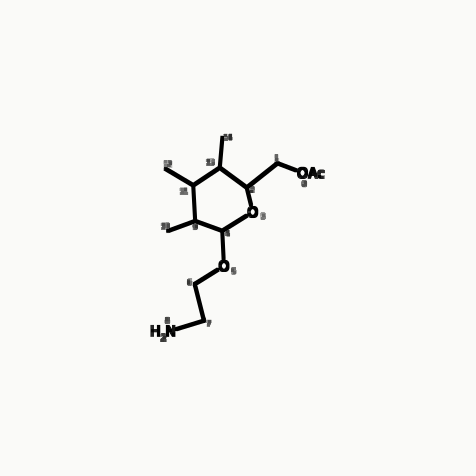 CC(=O)OCC1OC(OCCN)C(C)C(C)C1C